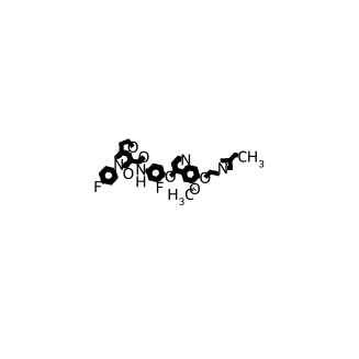 CCC1CN(CCOc2cc3nccc(Oc4ccc(NC(=O)c5c6c(cn(-c7ccc(F)cc7)c5=O)CCO6)cc4F)c3cc2OC)C1